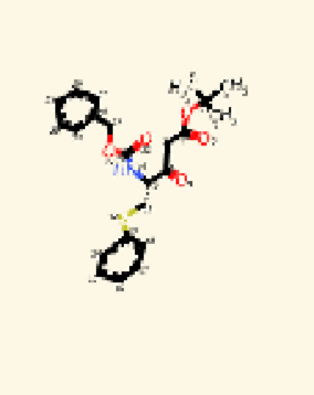 CC(C)(C)OC(=O)CC(=O)[C@H](CSc1ccccc1)NC(=O)OCc1ccccc1